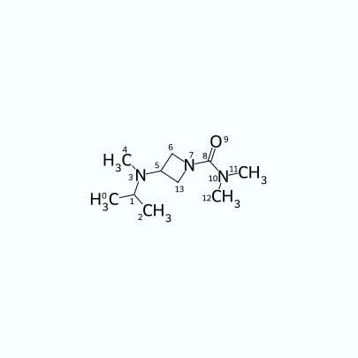 CC(C)N(C)C1CN(C(=O)N(C)C)C1